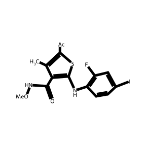 CONC(=O)c1c(Nc2ccc(I)cc2F)sc(C(C)=O)c1C